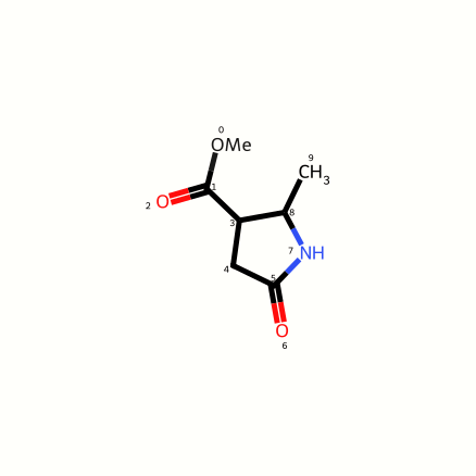 COC(=O)C1CC(=O)NC1C